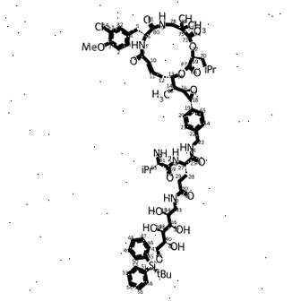 COc1ccc(C[C@H]2NC(=O)/C=C/C[C@@H]([C@H](C)[C@H]3O[C@@H]3c3ccc(CNC(=O)[C@H](CCC(=O)NC[C@H](O)[C@@H](O)[C@H](O)[C@H](O)CO[Si](c4ccccc4)(c4ccccc4)C(C)(C)C)NC(=O)[C@@H](N)C(C)C)cc3)OC(=O)[C@H](CC(C)C)OC(=O)C(C)(C)CNC2=O)cc1Cl